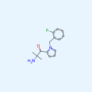 CC(C)(N)C(=O)c1cccn1Cc1ccccc1F